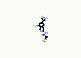 N#C[C@@H]1C[C@H]1C(=O)Nc1cc2cc(-c3cn[nH]c3)cc(N)c2cn1